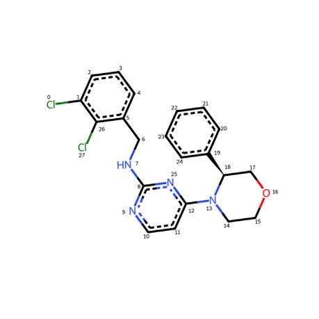 Clc1cccc(CNc2nccc(N3CCOC[C@@H]3c3ccccc3)n2)c1Cl